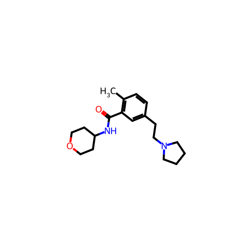 Cc1ccc(CCN2CCCC2)cc1C(=O)NC1CCOCC1